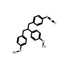 N#COc1ccc(CC(Cc2ccc(N=C=O)cc2)c2ccc(OC#N)cc2)cc1